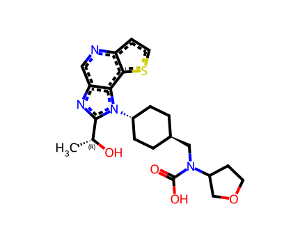 C[C@@H](O)c1nc2cnc3ccsc3c2n1[C@H]1CC[C@H](CN(C(=O)O)C2CCOC2)CC1